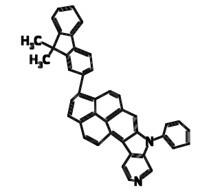 CC1(C)c2ccccc2-c2ccc(-c3ccc4ccc5c6c(ccc3c46)cc3c5c4ccncc4n3-c3ccccc3)cc21